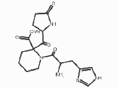 COC(=O)C1(C(=O)C2CCC(=O)N2)CCCCN1C(=O)C(N)Cc1c[nH]cn1